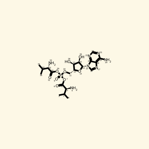 CC(C)[C@H](N)C(=O)OP(=O)(OC[C@H]1O[C@@H](n2cnc3c(N)ncnc32)[C@H](O)[C@@H]1O)OC(=O)[C@@H](N)C(C)C